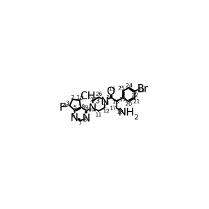 C[C@@H]1C[C@H](F)c2ncnc(N3CCN(C(=O)[C@H](CN)c4ccc(Br)cc4)CC3)c21